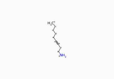 CCCCCC#CCCN